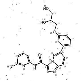 Cc1cccc(NC(=O)c2cnc3ccc(-c4cccc(OCC(O)CO)c4)nn23)n1